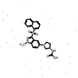 Cn1nc(S(=O)(=O)c2cccc3ccccc23)c2cc(N3CC[C@@H](NC(=O)O)C3)ccc21